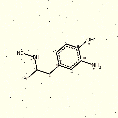 CCCC(BC#N)Cc1ccc(O)c(N)c1